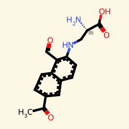 CC(=O)c1ccc2c(C=O)c(NC[C@H](N)C(=O)O)ccc2c1